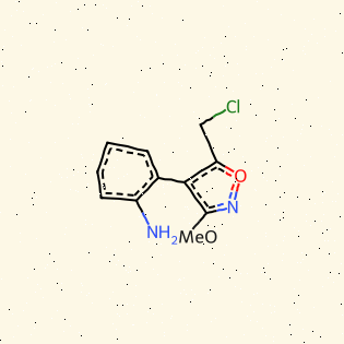 COc1noc(CCl)c1-c1ccccc1N